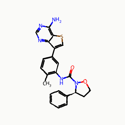 Cc1ccc(-c2csc3c(N)ncnc23)cc1NC(=O)N1OCC[C@H]1c1ccccc1